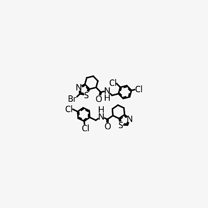 O=C(NCc1ccc(Cl)cc1Cl)C1CCCc2nc(Br)sc21.O=C(NCc1ccc(Cl)cc1Cl)C1CCCc2ncsc21